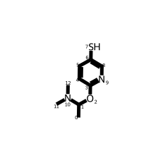 CC(Oc1ccc(S)cn1)N(C)C